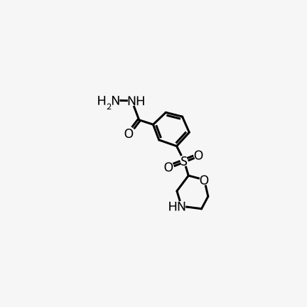 NNC(=O)c1cccc(S(=O)(=O)C2CNCCO2)c1